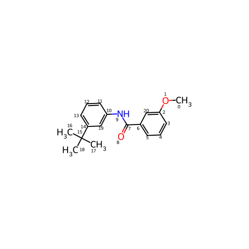 COc1cccc(C(=O)Nc2cccc(C(C)(C)C)c2)c1